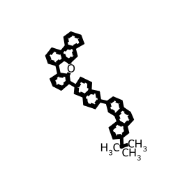 CC(C)(C)c1ccc2c(ccc3ccc(-c4ccc5cc(-c6cccc7c6Oc6cc8ccccc8c8cccc-7c68)ccc5c4)cc32)c1